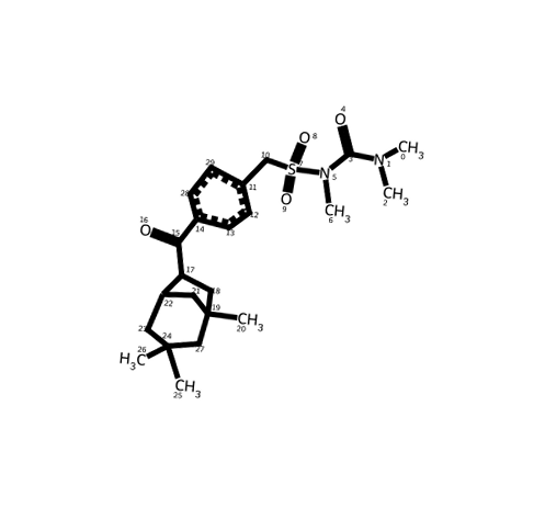 CN(C)C(=O)N(C)S(=O)(=O)Cc1ccc(C(=O)C2CC3(C)CC2CC(C)(C)C3)cc1